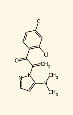 C=C(C(=O)c1ccc(Cl)cc1Cl)n1nccc1N(C)C